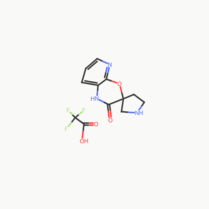 O=C(O)C(F)(F)F.O=C1Nc2cccnc2OC12CCNC2